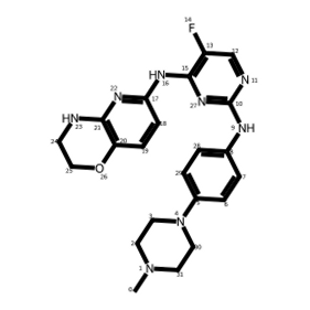 CN1CCN(c2ccc(Nc3ncc(F)c(Nc4ccc5c(n4)NCCO5)n3)cc2)CC1